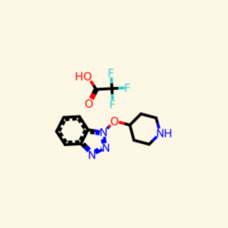 O=C(O)C(F)(F)F.c1ccc2c(c1)nnn2OC1CCNCC1